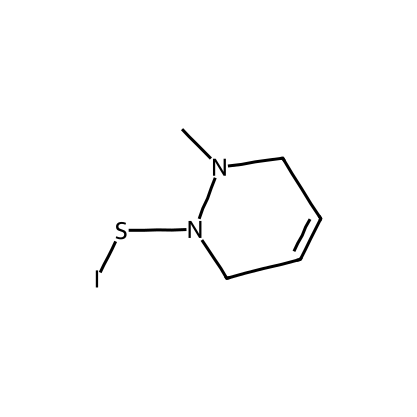 CN1CC=CCN1SI